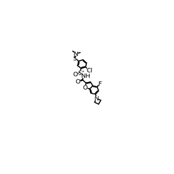 CN(C)Sc1ccc(Cl)c([S+]([O-])NC(=O)c2cc3c(F)cc(N4CCC4)cc3o2)c1